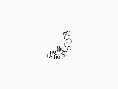 C[C@H]([C@@H](O)[C@@H](O)[C@@H](O)[C@@H](O)[C@@H](O)CN)[C@H]1CC[C@]2(C)[C@H]3CC[C@@H]4[C@@]5(C)CCCC(C)(C)[C@@H]5CC[C@@]4(C)[C@]3(C)CC[C@@H]12